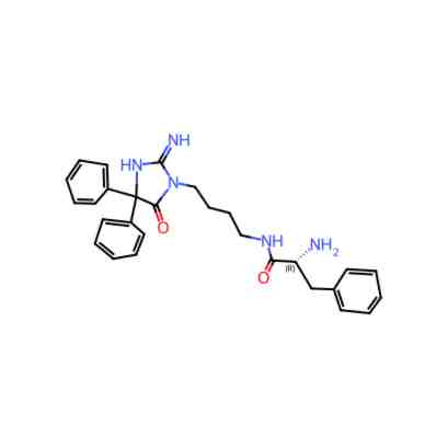 N=C1NC(c2ccccc2)(c2ccccc2)C(=O)N1CCCCNC(=O)[C@H](N)Cc1ccccc1